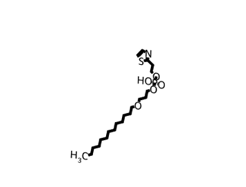 CCCCCCCCCCCCCOCCCOP(=O)(O)OCCc1nccs1